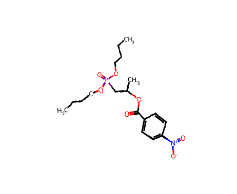 CCCCOP(=O)(CC(C)OC(=O)c1ccc([N+](=O)[O-])cc1)OCCCC